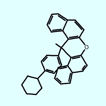 CC1(c2ccc(C3CCCCC3)cc2)c2c(ccc3ccccc23)Oc2ccc3ccccc3c21